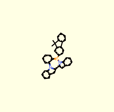 CC1(C)c2ccccc2-c2ccc(-p3c4ccccc4n4c5ccccc5cc4c4cc5ccccc5n43)cc21